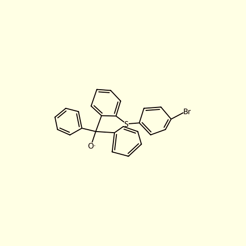 [O]C(c1ccccc1)(c1ccccc1)c1ccccc1Sc1ccc(Br)cc1